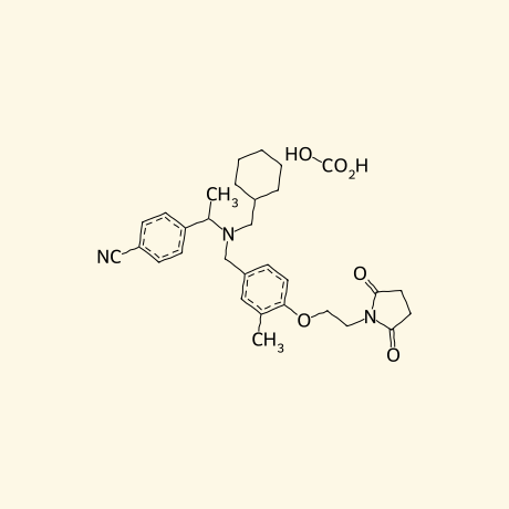 Cc1cc(CN(CC2CCCCC2)C(C)c2ccc(C#N)cc2)ccc1OCCN1C(=O)CCC1=O.O=C(O)O